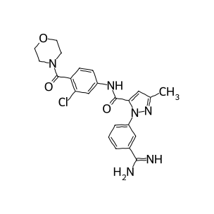 Cc1cc(C(=O)Nc2ccc(C(=O)N3CCOCC3)c(Cl)c2)n(-c2cccc(C(=N)N)c2)n1